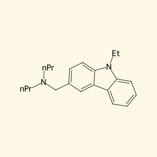 CCCN(CCC)Cc1ccc2c(c1)c1ccccc1n2CC